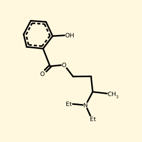 CCN(CC)C(C)CCOC(=O)c1ccccc1O